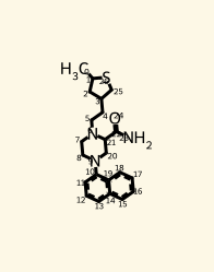 CC1CC(CCN2CCN(c3cccc4ccccc34)CC2C(N)=O)CS1